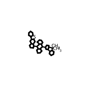 CC1(C)c2ccccc2-c2cc(-c3c4ccccc4c(-c4cccc5cc6c(cc45)sc4ccccc46)c4ccccc34)ccc21